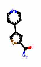 NC(=O)c1cc(-c2ccncc2)cs1